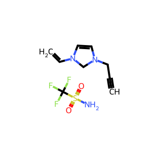 C#CCN1C=CN(C=C)C1.NS(=O)(=O)C(F)(F)F